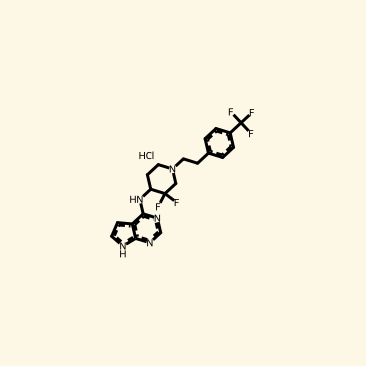 Cl.FC(F)(F)c1ccc(CCN2CCC(Nc3ncnc4[nH]ccc34)C(F)(F)C2)cc1